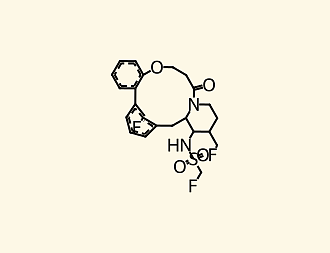 O=C1CCOc2ccccc2-c2cccc(c2F)CC2C(NS(=O)(=O)CF)C(CF)CCN12